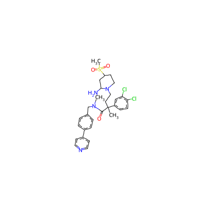 CN(Cc1ccc(-c2ccncc2)cc1)C(=O)C(C)(CCN1CCC(S(C)(=O)=O)CC1N)c1ccc(Cl)c(Cl)c1